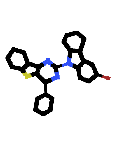 Brc1ccc2c(c1)c1ccccc1n2-c1nc(-c2ccccc2)c2sc3ccccc3c2n1